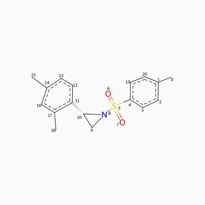 Cc1ccc(S(=O)(=O)N2C[C@@H]2c2ccc(C)cc2C)cc1